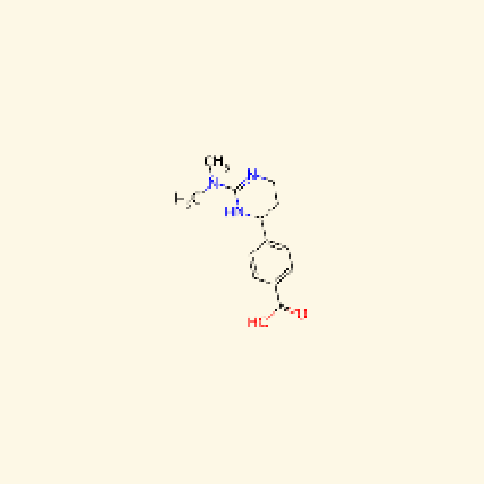 CN(C)C1=NCCC(c2ccc(C(=O)O)cc2)N1